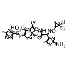 Nc1nc(C(=NOC2CC2(Cl)Cl)C(=O)N[C@@H]2C(=O)N3C(C(=O)O)=C(CSc4nncs4)CS[C@@H]23)cs1